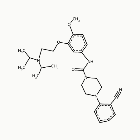 COc1ccc(NC(=O)N2CCN(c3ccccc3C#N)CC2)cc1OCCN(C(C)C)C(C)C